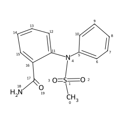 CS(=O)(=O)N(c1ccccc1)c1ccccc1C(N)=O